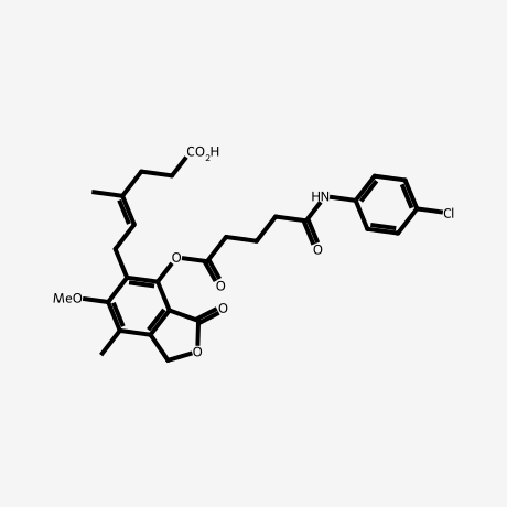 COc1c(C)c2c(c(OC(=O)CCCC(=O)Nc3ccc(Cl)cc3)c1C/C=C(\C)CCC(=O)O)C(=O)OC2